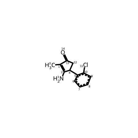 CC1=C(N)C(c2ccccc2Cl)CC1=O